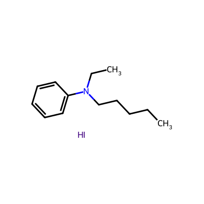 CCCCCN(CC)c1ccccc1.I